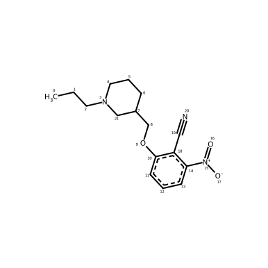 CCCN1CCCC(COc2cccc([N+](=O)[O-])c2C#N)C1